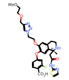 COCCOCc1cn(CCOc2cc3c(cc2Oc2ccc(C(=O)O)c(F)c2)[C@@](C)(CC(=O)Nc2nccs2)NCC3)nn1